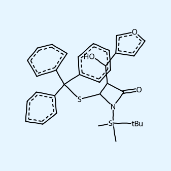 CC(C)(C)[Si](C)(C)N1C(=O)C(C(O)c2ccoc2)C1SC(c1ccccc1)(c1ccccc1)c1ccccc1